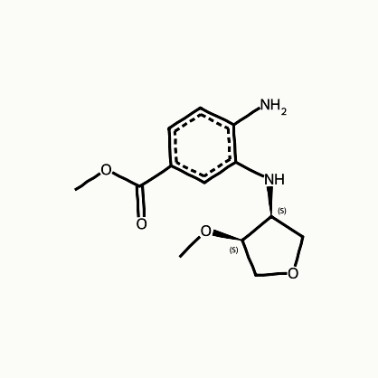 COC(=O)c1ccc(N)c(N[C@H]2COC[C@H]2OC)c1